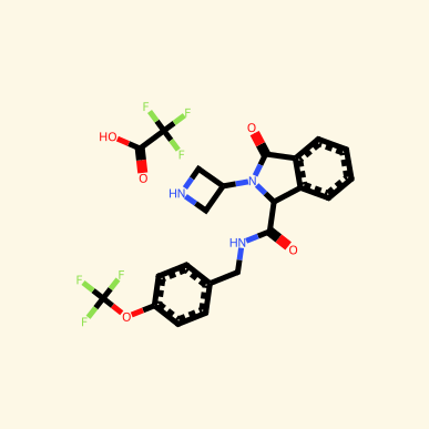 O=C(NCc1ccc(OC(F)(F)F)cc1)C1c2ccccc2C(=O)N1C1CNC1.O=C(O)C(F)(F)F